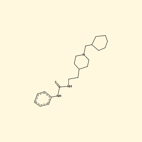 S=C(NCCC1CCN(CC2CCCCC2)CC1)Nc1ccccc1